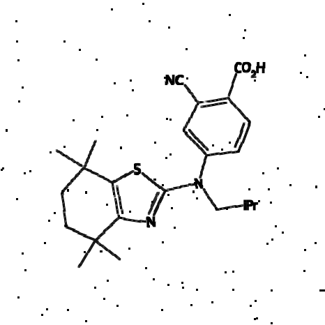 CC(C)CN(c1ccc(C(=O)O)c(C#N)c1)c1nc2c(s1)C(C)(C)CCC2(C)C